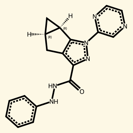 O=C(NNc1ccccc1)c1nn(-c2cnccn2)c2c1C[C@H]1C[C@@H]21